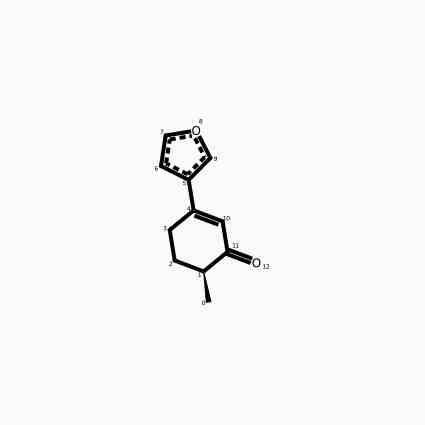 C[C@H]1CCC(c2ccoc2)=CC1=O